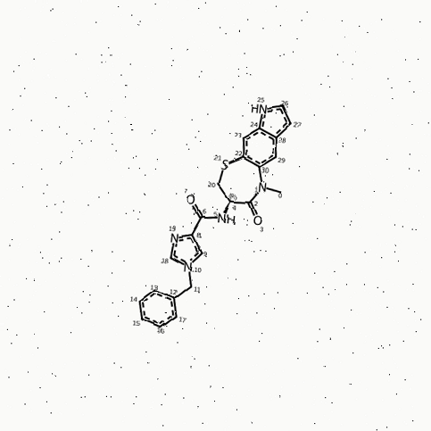 CN1C(=O)[C@@H](NC(=O)c2cn(Cc3ccccc3)cn2)CSc2cc3[nH]ccc3cc21